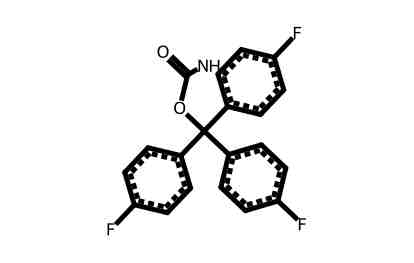 NC(=O)OC(c1ccc(F)cc1)(c1ccc(F)cc1)c1ccc(F)cc1